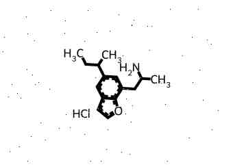 CCC(C)c1cc(CC(C)N)c2occc2c1.Cl